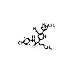 CCCC(C(=O)Nc1cnc(Cl)cn1)c1cnc(-c2cnn(C)c2)c(C#N)c1